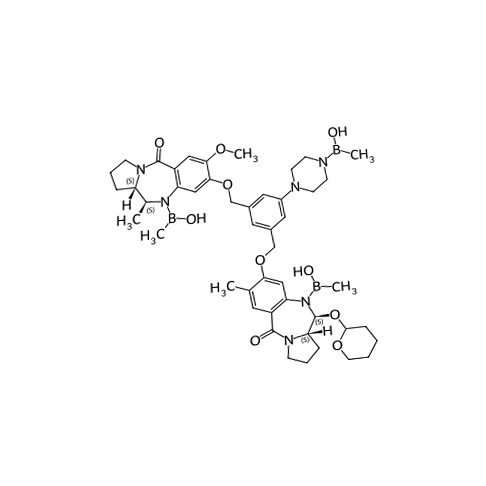 COc1cc2c(cc1OCc1cc(COc3cc4c(cc3C)C(=O)N3CCC[C@H]3[C@H](OC3CCCCO3)N4B(C)O)cc(N3CCN(B(C)O)CC3)c1)N(B(C)O)[C@@H](C)[C@@H]1CCCN1C2=O